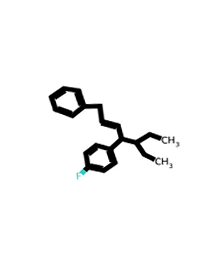 CCC(CC)C(/C=C/Cc1ccccc1)c1ccc(F)cc1